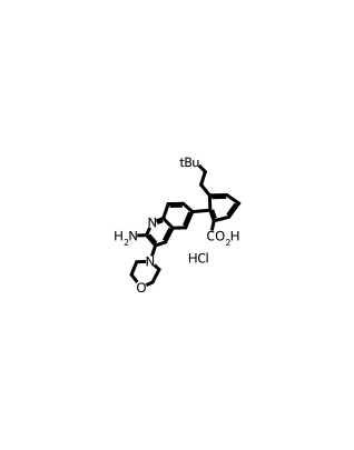 CC(C)(C)CCc1cccc(C(=O)O)c1-c1ccc2nc(N)c(N3CCOCC3)cc2c1.Cl